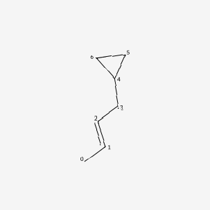 CC=C[CH]C1CC1